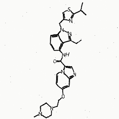 CCc1nn(Cc2csc(C(C)C)n2)c2cccc(NC(=O)c3cnc4cc(OCCN5CCN(C)CC5)ccn34)c12